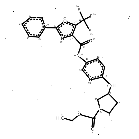 CCOC(=O)N1CCC(Nc2ccc(NC(=O)c3nc(-c4ccccc4)oc3C(F)(F)F)cn2)C1